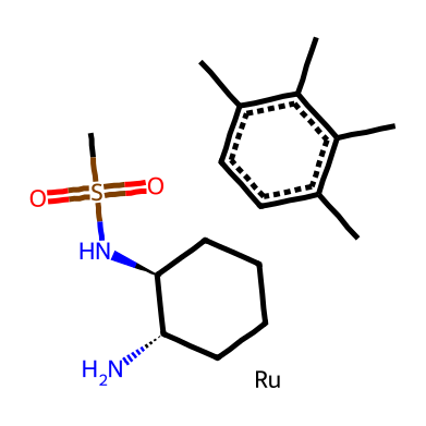 CS(=O)(=O)N[C@H]1CCCC[C@@H]1N.Cc1ccc(C)c(C)c1C.[Ru]